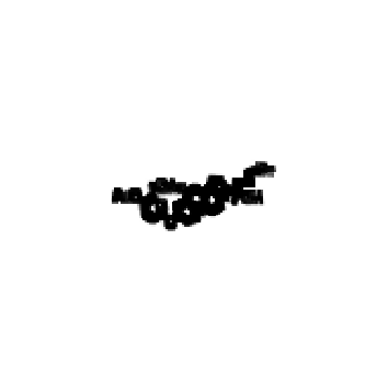 CC(=O)OC[C@H]1OC(OC2CC[C@@]3(C)C(=CCC4C3CC[C@@]3(C)C4CC[C@@H]3[C@@](C)(O)CCCC(C)C)C2)C=C[C@@H]1OC(C)=O